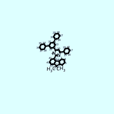 CC1(C)c2ccccc2-c2c(-c3nc(-c4ccccc4)cc(-c4cc(-c5ccccc5)cc(-c5ccccc5)c4)n3)cccc21